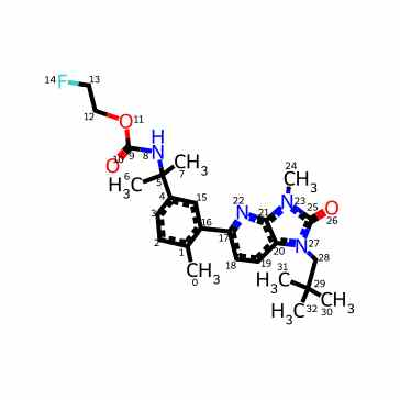 Cc1ccc(C(C)(C)NC(=O)OCCF)cc1-c1ccc2c(n1)n(C)c(=O)n2CC(C)(C)C